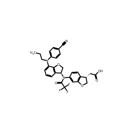 CCCN(c1ccc(C#N)cc1)c1cccc2c1OC[C@H]2N(C(=O)C(F)(F)F)c1ccc2c(c1)OC[C@H]2CC(=O)O